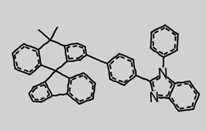 CC1(C)c2ccccc2C2(c3ccccc3-c3ccccc32)c2cc(-c3ccc(-c4nc5ccccc5n4-c4ccccc4)cc3)ccc21